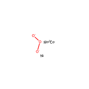 [Co].[Mn+2].[Ni].[O-]O[O-]